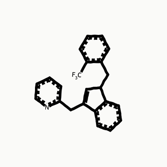 FC(F)(F)c1ccccc1CC1C=C(Cc2ccccn2)c2ccccc21